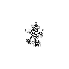 CC(C)(C#Cc1nc([C@H](Cc2cc(F)cc(F)c2)NC(=O)Cn2nc(C(F)(F)F)c3c2C(F)(F)[C@@H]2C[C@H]32)c(-c2ccc(Cl)c3c(NS(C)(=O)=O)nn(CC(F)(F)F)c23)c2c1CCC2)S(C)(=O)=O